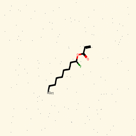 C=CC(=O)OC(F)CCCCCCCCCCCCCCC